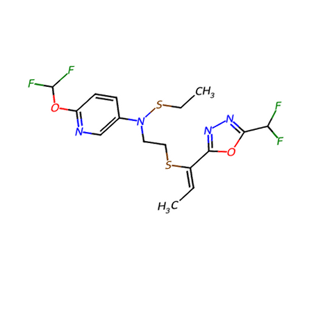 C/C=C(\SCCN(SCC)c1ccc(OC(F)F)nc1)c1nnc(C(F)F)o1